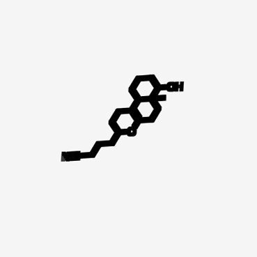 CC12CCC3=C(CCC(CCCC#N)O3)C1CCCC2O